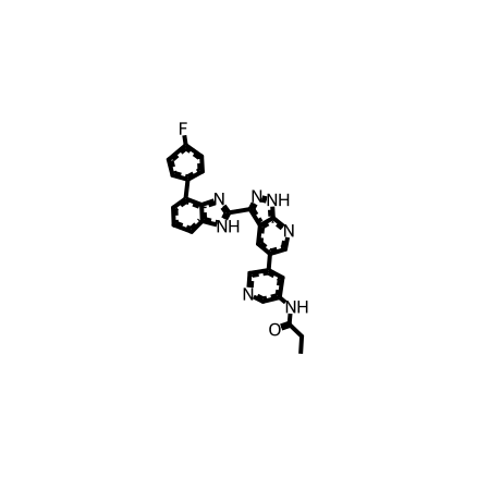 CCC(=O)Nc1cncc(-c2cnc3[nH]nc(-c4nc5c(-c6ccc(F)cc6)cccc5[nH]4)c3c2)c1